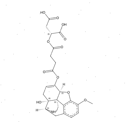 COc1ccc2c3c1O[C@@H]1C(OC(=O)CCC(=O)O[C@H](CC(=O)O)C(=O)O)=CC[C@]4(O)[C@H](C2)NCC[C@@]314